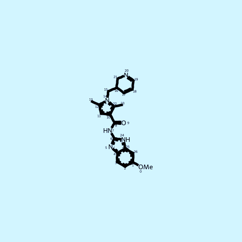 COc1ccc2nc(NC(=O)c3cc(C)n(CC4C=CC=NC4)c3C)[nH]c2c1